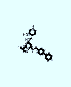 O[C@H]1CNCC[C@@H]1CNc1cc(NCc2ccc(-c3ccccc3)cc2)n2ncc(Cl)c2n1